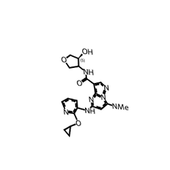 CNc1cc(Nc2cccnc2OC2CC2)nc2c(C(=O)NC3COC[C@H]3O)cnn12